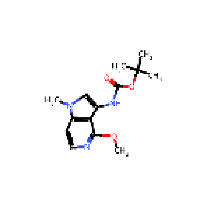 COc1nccc2c1c(NC(=O)OC(C)(C)C)cn2C